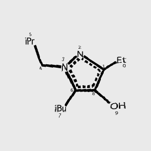 CCc1nn(CC(C)C)c(C(C)CC)c1O